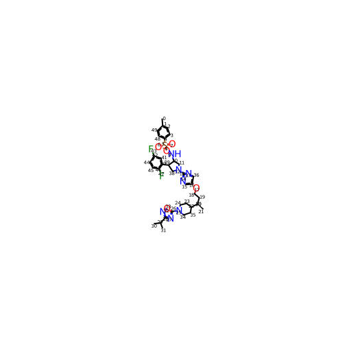 Cc1ccc(S(=O)(=O)ONC2CN(c3ncc(OCC[C@@H](C)C4CCN(c5nc(C(C)C)no5)CC4)cn3)CC2c2cc(F)ccc2F)cc1